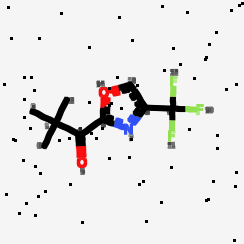 CC(C)(C)C(=O)c1nc(C(F)(F)F)co1